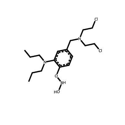 CCCN(CCC)c1cc(CN(CCCl)CCCl)ccc1OBO